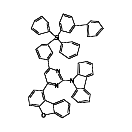 c1ccc(-c2cccc([Si](c3ccccc3)(c3ccccc3)c3cccc(-c4cc(-c5cccc6oc7ccccc7c56)nc(-n5c6ccccc6c6ccccc65)n4)c3)c2)cc1